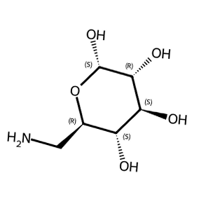 NC[C@H]1O[C@H](O)[C@H](O)[C@@H](O)[C@@H]1O